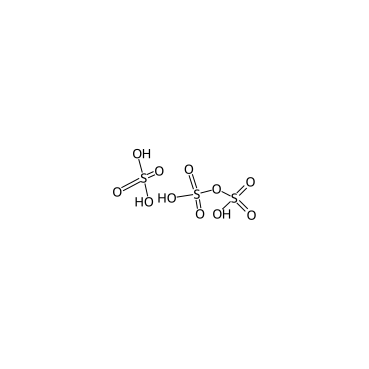 O=S(=O)(O)O.O=S(=O)(O)OS(=O)(=O)O